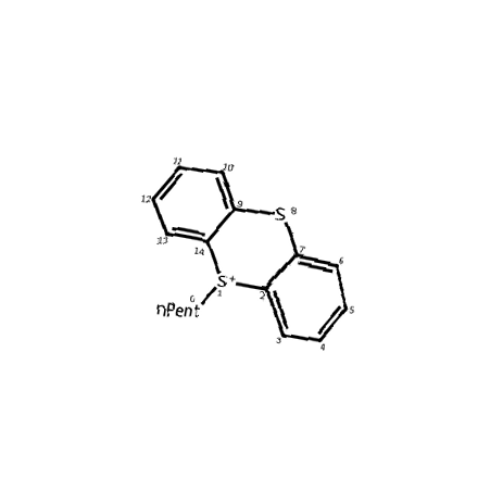 CCCCC[S+]1c2ccccc2Sc2ccccc21